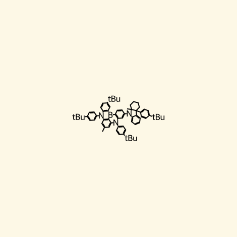 Cc1cc2c3c(c1)N(c1ccc(C(C)(C)C)cc1)c1cc(N4c5ccccc5C5(c6ccc(C(C)(C)C)cc6)CCCCC45C)ccc1B3c1cc(C(C)(C)C)ccc1N2c1ccc(C(C)(C)C)cc1